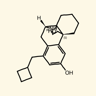 Oc1cc(CC2CCC2)c2c(c1)[C@@]13CCCCC1(O)[C@@H](C2)NCC3